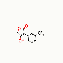 O=C1OCC(O)=C1c1cccc(C(F)(F)F)c1